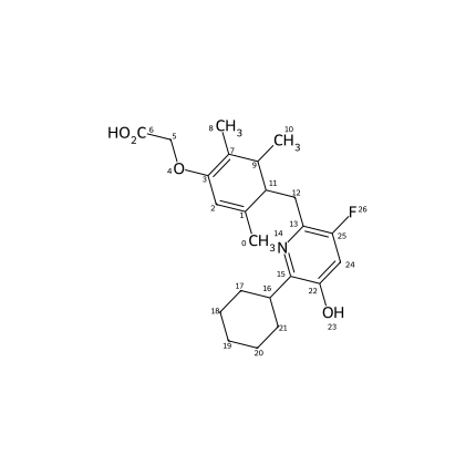 CC1=CC(OCC(=O)O)=C(C)C(C)C1Cc1nc(C2CCCCC2)c(O)cc1F